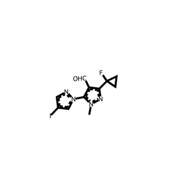 Cn1nc(C2(F)CC2)c(C=O)c1-n1cc(I)cn1